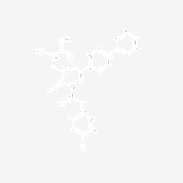 COC(=O)[C@@H](C)C[C@H](NC(=O)c1ccc(-c2ccccc2)cc1)C(=O)NC(S)Cc1ccc(F)cc1